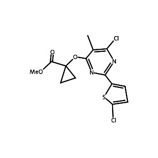 COC(=O)C1(Oc2nc(-c3ccc(Cl)s3)nc(Cl)c2C)CC1